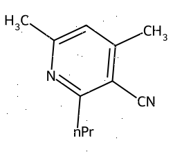 CCCc1nc(C)cc(C)c1C#N